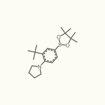 CC(C)(C)c1cc(B2OC(C)(C)C(C)(C)O2)ccc1N1CCCC1